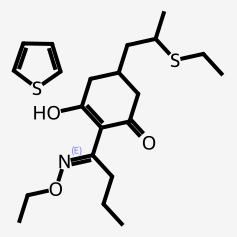 CCC/C(=N\OCC)C1=C(O)CC(CC(C)SCC)CC1=O.c1ccsc1